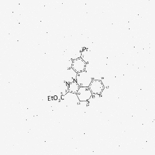 CCOC(=O)c1nn(-c2ccc(C(C)C)cc2)c2c1CSc1ccccc1-2